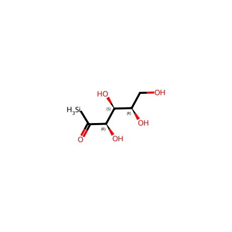 O=C([SiH3])[C@H](O)[C@@H](O)[C@H](O)CO